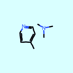 CN(C)C.Cc1ccncc1